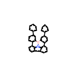 c1ccc(-c2ccc3c(c2)B2c4cc(-c5ccccc5)ccc4-c4cccc5c6cccc-3c6n2c45)cc1